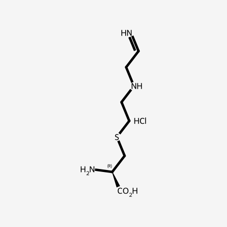 Cl.N=CCNCCSC[C@H](N)C(=O)O